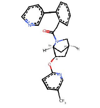 O=C(c1ccccc1-c1cccnc1)N1C[C@H]2C[C@@H](Oc3ccc(C(F)(F)F)cn3)[C@@H]1C2